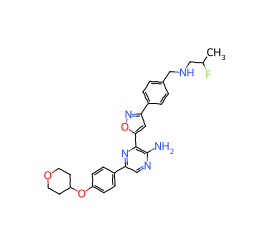 CC(F)CNCc1ccc(-c2cc(-c3nc(-c4ccc(OC5CCOCC5)cc4)cnc3N)on2)cc1